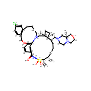 C[C@@H]1[C@@H](C)CCC[C@H](CN2CCN3CCOC[C@H]3C2)[C@@H]2CC[C@H]2CN2CCCCc3cc(Cl)ccc3COc3ccc(cc32)C(=O)NS1(=O)=O